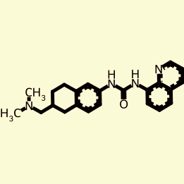 CN(C)CC1CCc2cc(NC(=O)Nc3cccc4cccnc34)ccc2C1